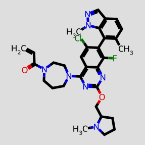 C=CC(=O)N1CCCN(c2nc(OCC3CCCN3C)nc3c(F)c(-c4c(C)ccc5cnn(C)c45)c(Cl)cc23)CC1